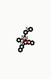 C1=CC2c3cc4ccccc4cc3N(c3ccccc3-c3nc(-c4ccc5ccccc5c4)nc(-c4ccc5sc6ccccc6c5c4)n3)C2C=C1